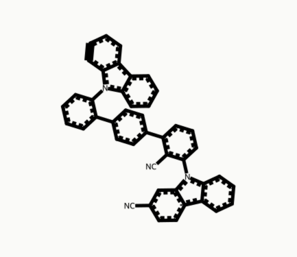 N#Cc1ccc2c3ccccc3n(-c3cccc(-c4ccc(-c5ccccc5-n5c6c#cccc6c6ccccc65)cc4)c3C#N)c2c1